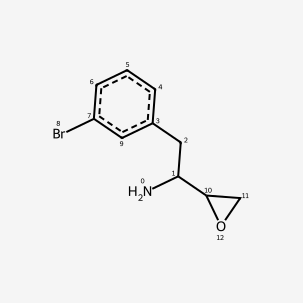 NC(Cc1cccc(Br)c1)C1CO1